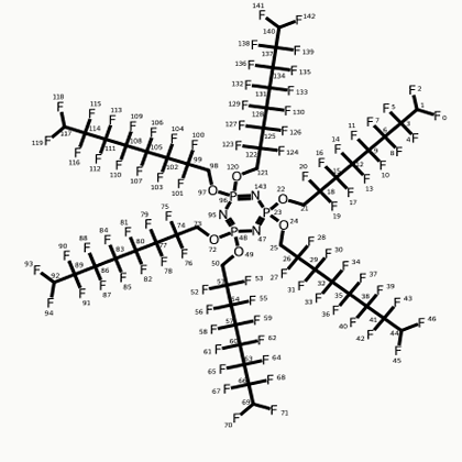 FC(F)C(F)(F)C(F)(F)C(F)(F)C(F)(F)C(F)(F)C(F)(F)COP1(OCC(F)(F)C(F)(F)C(F)(F)C(F)(F)C(F)(F)C(F)(F)C(F)F)=NP(OCC(F)(F)C(F)(F)C(F)(F)C(F)(F)C(F)(F)C(F)(F)C(F)F)(OCC(F)(F)C(F)(F)C(F)(F)C(F)(F)C(F)(F)C(F)(F)C(F)F)=NP(OCC(F)(F)C(F)(F)C(F)(F)C(F)(F)C(F)(F)C(F)(F)C(F)F)(OCC(F)(F)C(F)(F)C(F)(F)C(F)(F)C(F)(F)C(F)(F)C(F)F)=N1